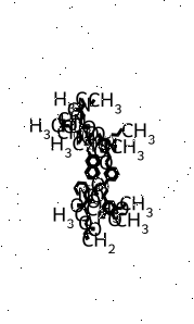 C=CC(=O)OCC(C)(C)C(=O)C(=O)N1CCCC[C@H]1C(=O)O[C@H](CCc1cc(F)c(OC)c(OC)c1)c1cccc(OCC(=O)N(C)[C@@H](CCCC)C(=O)N[C@@H](Cc2ccc3ccccc3c2)C(=O)N(C)[C@@H](COC(C)(C)C)C(=O)NCC(=O)N(C)CC)c1